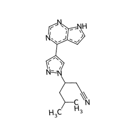 CC(C)CC(CC#N)n1cc(-c2ncnc3[nH]ccc23)cn1